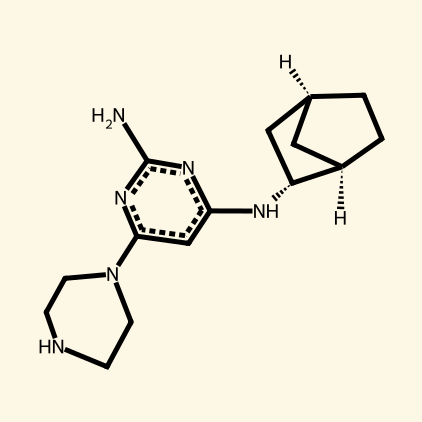 Nc1nc(N[C@@H]2C[C@H]3CC[C@@H]2C3)cc(N2CCNCC2)n1